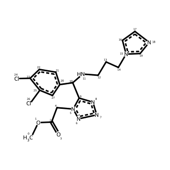 COC(=O)Cn1nnnc1C(NCCCn1ccnc1)c1ccc(Cl)c(Cl)c1